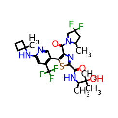 CC1CC(F)(F)CN1C(=O)c1nc(C(=O)NC(C)C(C)(C)O)sc1-c1cnc(NC2(C)CCC2)cc1C(F)(F)F